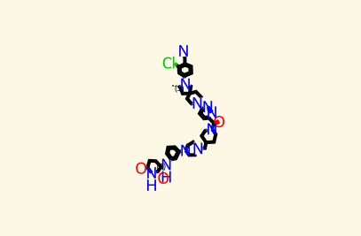 C[C@H]1CC2(CCN(c3ccc(C(=O)N4CCC(CN5CCN(c6cccc(N[C@@H]7CCC(=O)NC7=O)c6)CC5)CC4)nn3)CC2)CN1c1ccc(C#N)c(Cl)c1